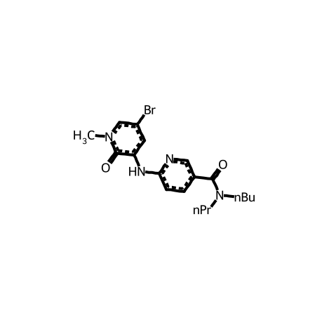 CCCCN(CCC)C(=O)c1ccc(Nc2cc(Br)cn(C)c2=O)nc1